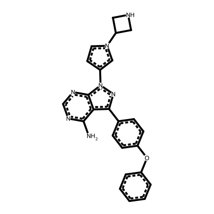 Nc1ncnc2c1c(-c1ccc(Oc3ccccc3)cc1)nn2-c1ccn(C2CNC2)c1